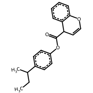 CCC(C)c1ccc(OC(=O)C2C=COc3ccccc32)cc1